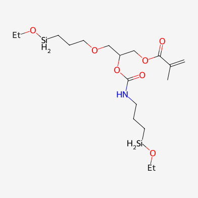 C=C(C)C(=O)OCC(COCCC[SiH2]OCC)OC(=O)NCCC[SiH2]OCC